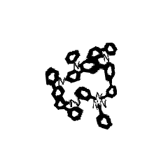 c1ccc(-c2nc(-c3cccc(-c4ccc(-n5c6ccccc6c6ccccc65)c(-c5ccc6c(c5)c5ccc(-n7c8ccccc8c8ccccc87)cc5n6-c5ccccc5)c4)c3)nc(-c3cccc(-n4c5ccccc5c5ccccc54)c3)n2)cc1